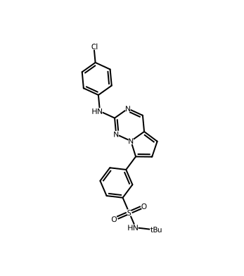 CC(C)(C)NS(=O)(=O)c1cccc(-c2ccc3cnc(Nc4ccc(Cl)cc4)nn23)c1